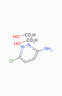 Nc1ccc(Cl)nn1.O=C(O)O.O=C(O)O